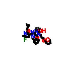 Cc1nc(OCC2CC2)c(-c2nc3c(n2Cc2ccccc2)C(=O)N(CCCOC2CCCCO2)C(O)N3C(C)C)cc1F